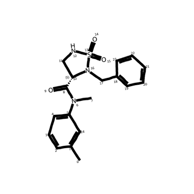 Cc1cccc(N(C)C(=O)[C@@H]2CNS(=O)(=O)N2Cc2ccccc2)c1